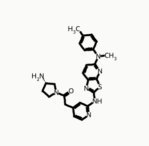 Cc1ccc(N(C)c2ccc3nc(Nc4cc(CC(=O)N5CC[C@H](N)C5)ccn4)sc3n2)cc1